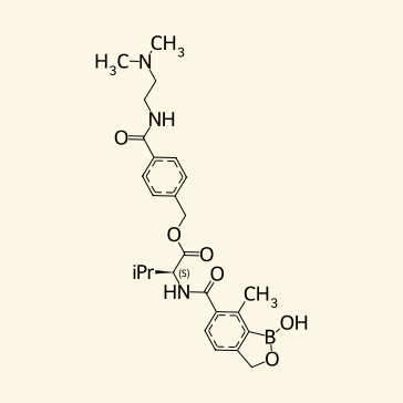 Cc1c(C(=O)N[C@H](C(=O)OCc2ccc(C(=O)NCCN(C)C)cc2)C(C)C)ccc2c1B(O)OC2